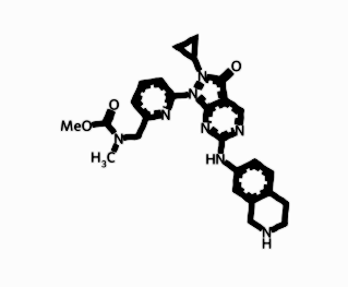 COC(=O)N(C)Cc1cccc(-n2c3nc(Nc4ccc5c(c4)CNCC5)ncc3c(=O)n2C2CC2)n1